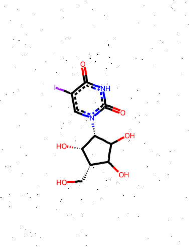 O=c1[nH]c(=O)n([C@@H]2C(O)C(O)[C@H](CO)[C@@H]2O)cc1I